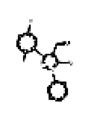 O=Cc1c(-c2cc(F)ccc2F)nn(-c2ccccc2)c1Br